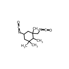 CC1C(C)(C)CC(N=C=O)CC1(C)CN=C=O